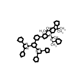 C/C(=N\[C@@H](C)c1ccccc1)N1c2ccc(-c3cccc(-c4cc(-c5nc(-c6ccccc6)cc(-c6ccccc6)n5)cc(-c5nc(-c6ccccc6)cc(-c6ccccc6)n5)c4)c3)cc2C(C)(C)c2cc3c(cc21)C(C)(C)c1ccccc1-3